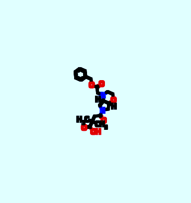 CC(C)(CC(=O)N1C[C@@H]2OCCN(CC(=O)OCc3ccccc3)[C@@H]2C1)C(=O)O